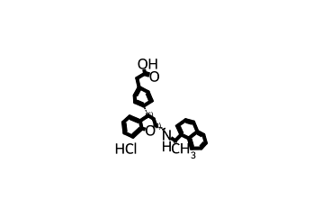 CC(NC[C@H]1C[C@@H](c2ccc(CC(=O)O)cc2)c2ccccc2O1)c1cccc2ccccc12.Cl